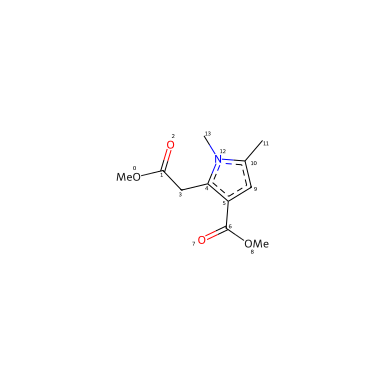 COC(=O)Cc1c(C(=O)OC)cc(C)n1C